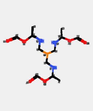 CC(NCP(CNC(C)OC=O)CNC(C)OC=O)OC=O